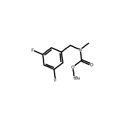 CN(Cc1cc(F)cc(F)c1)C(=O)OC(C)(C)C